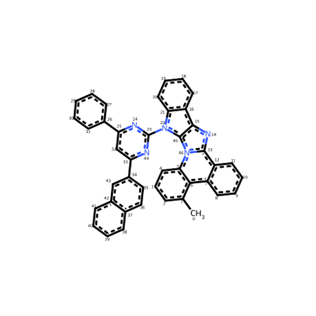 Cc1cccc2c1c1ccccc1c1nc3c4ccccc4n(-c4nc(-c5ccccc5)cc(-c5ccc6ccccc6c5)n4)c3n21